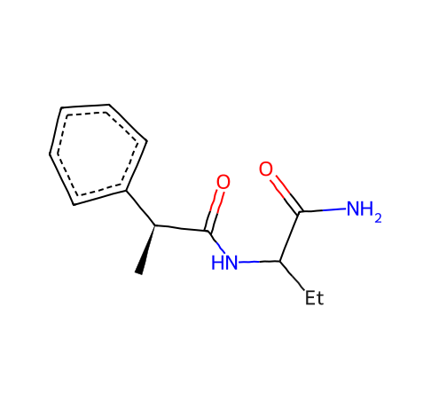 CCC(NC(=O)[C@@H](C)c1ccccc1)C(N)=O